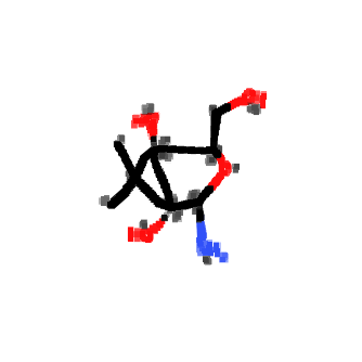 CC1(C)[C@]2(O)[C@H](N)O[C@H](CO)[C@]12O